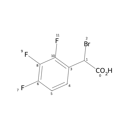 O=C(O)C(Br)c1ccc(F)c(F)c1F